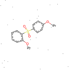 CC(C)Oc1ccc(S(=O)(=O)c2ccccc2OC(C)C)cc1